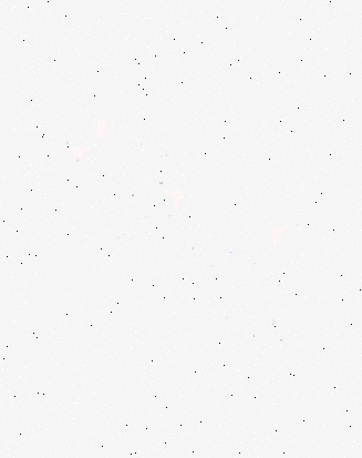 COCC(c1cc(Cl)cc(Cl)c1)N1CCC(COc2cc(F)c(C(=O)OC)cc2C2CC2)CC1